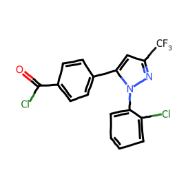 O=C(Cl)c1ccc(-c2cc(C(F)(F)F)nn2-c2ccccc2Cl)cc1